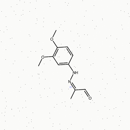 COc1ccc(N/N=C(/C)C=O)cc1OC